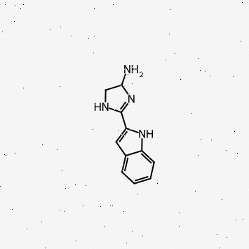 NC1CNC(c2cc3ccccc3[nH]2)=N1